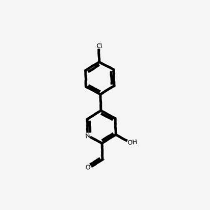 O=[C]c1ncc(-c2ccc(Cl)cc2)cc1O